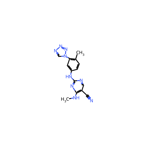 CNc1nc(Nc2ccc(C)c(-n3cnnn3)c2)ncc1C#N